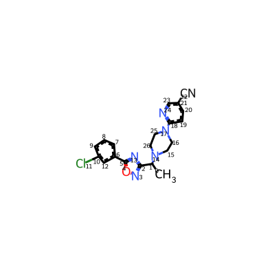 CC(c1noc(-c2cccc(Cl)c2)n1)N1CCN(c2ccc(C#N)cn2)CC1